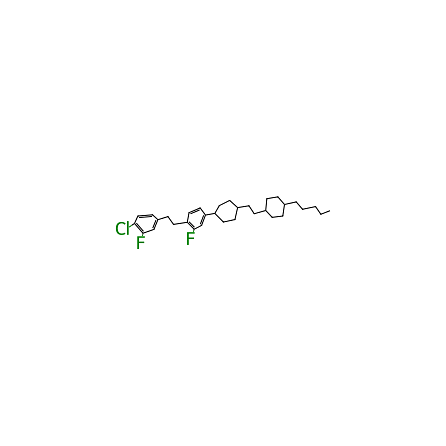 CCCCCC1CCC(CCC2CCC(c3ccc(CCc4ccc(Cl)c(F)c4)c(F)c3)CC2)CC1